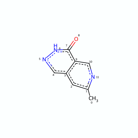 Cc1cc2cn[nH]c(=O)c2cn1